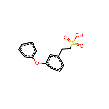 O=S(=O)(O)CCc1cccc(Oc2ccccc2)c1